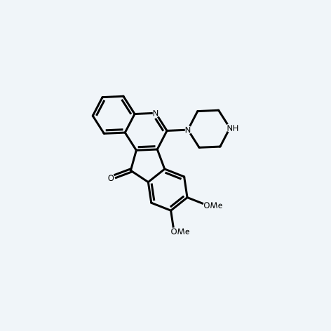 COc1cc2c(cc1OC)-c1c(N3CCNCC3)nc3ccccc3c1C2=O